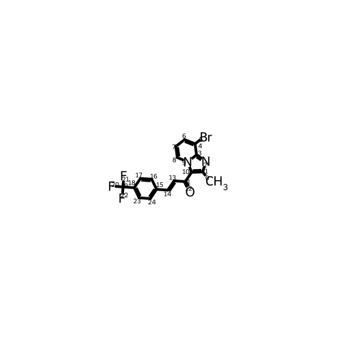 Cc1nc2c(Br)cccn2c1C(=O)/C=C/c1ccc(C(F)(F)F)cc1